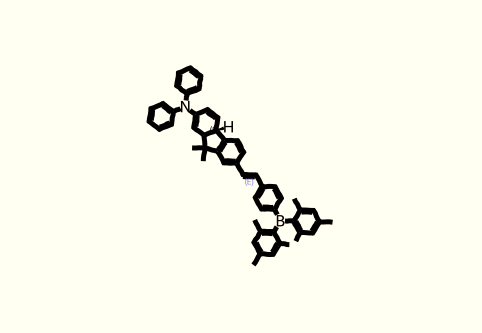 Cc1cc(C)c(B(c2ccc(/C=C/c3ccc4c(c3)C(C)(C)C3C=C(N(c5ccccc5)c5ccccc5)C=C[C@H]43)cc2)c2c(C)cc(C)cc2C)c(C)c1